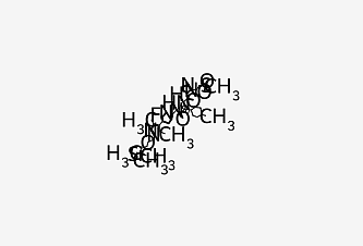 Cc1nn(COCC[Si](C)(C)C)c(C)c1-c1ccc(NC(=O)[C@@H](NC(=O)c2ccnn2CCS(C)(=O)=O)C2CCC(C)CC2)nc1F